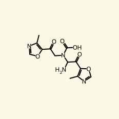 Cc1ncoc1C(=O)CN(C(=O)O)C(N)C(=O)c1ocnc1C